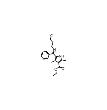 CCOC(=O)c1c(C)[nH]c(/C(=N/CCCCl)c2ccccc2)c1C